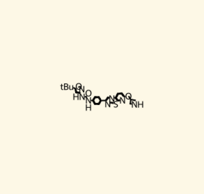 CC(C)(C)c1cc(NC(=O)Nc2ccc(-c3cn4c(n3)sc3nc(OC5CNC5)ccc34)cc2)no1